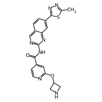 Cc1nnc(-c2ccc3cnc(NC(=O)c4ccnc(OC5CNC5)c4)nc3c2)s1